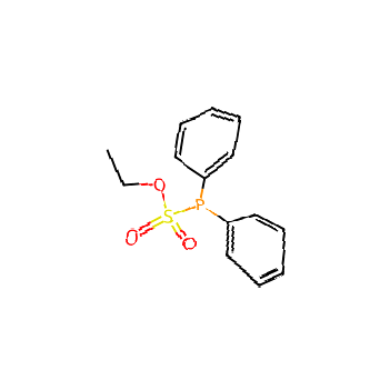 CCOS(=O)(=O)P(c1ccccc1)c1ccccc1